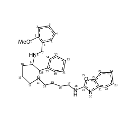 COc1ccccc1CNC1CCCN(CCCCNc2nc3ccccc3o2)C1c1ccccc1